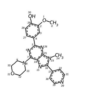 COc1cc(-c2nc(N3CCOCC3)c3nc(-c4ccncc4)n(C)c3n2)ccc1O